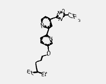 CCC(CC)CCCOc1ccc(-c2cc(-c3noc(C(F)(F)F)n3)ccn2)nc1